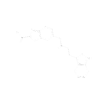 NC(=O)c1cc2cc(NC(=O)[CH]Cc3c[nH]c4ccccc34)ccc2[nH]1